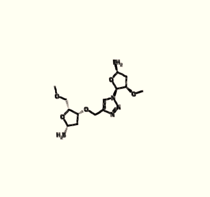 B[C@H]1C[C@@H](OCc2cn([C@H]3O[C@@H](B)C[C@H]3OC)nn2)[C@@H](COC)O1